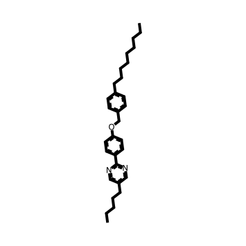 CCCCCCCCCc1ccc(COc2ccc(-c3ncc(CCCCC)cn3)cc2)cc1